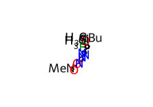 CNC(=O)CCON=C1CCN(c2ncc(-c3cccc(CO[Si](C)(C)C(C)(C)C)c3F)cn2)CC1